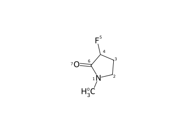 CN1CCC(F)C1=O